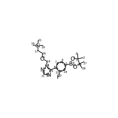 CC1(C)OB(c2ccc(-c3ncnn3COCC[Si](C)(C)C)c(F)c2)OC1(C)C